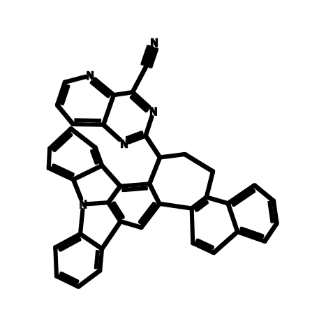 N#Cc1nc(C2CCc3c(ccc4ccccc34)-c3cc4c5ccccc5n5c6ccccc6c(c32)c45)nc2cccnc12